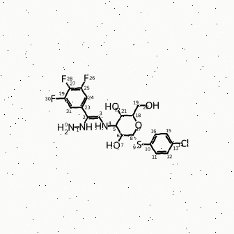 NN/C(=C\NC1C(O)[C@@H](Sc2ccc(Cl)cc2)OC(CO)[C@@H]1O)c1cc(F)c(F)c(F)c1